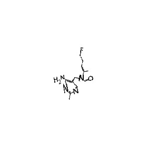 CC(=CCCF)N(C=O)Cc1cnc(C)nc1N